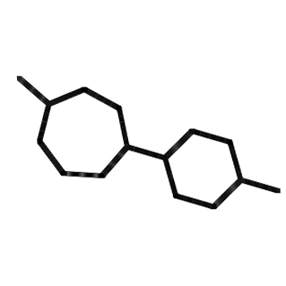 CC1CCCC(C2CCC(C)CC2)CC1